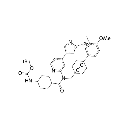 COc1ccc(C23CCC(CN(C(=O)C4CCC(NC(=O)OC(C)(C)C)CC4)c4cc(-c5cnn(C(C)C)c5)ccn4)(CC2)CC3)cc1C